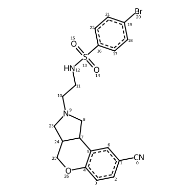 N#Cc1ccc2c(c1)C1CN(CCNS(=O)(=O)c3ccc(Br)cc3)CC1CO2